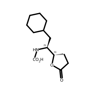 O=C(O)N[C@@H](CC1CCCCC1)[C@@H]1CCC(=O)O1